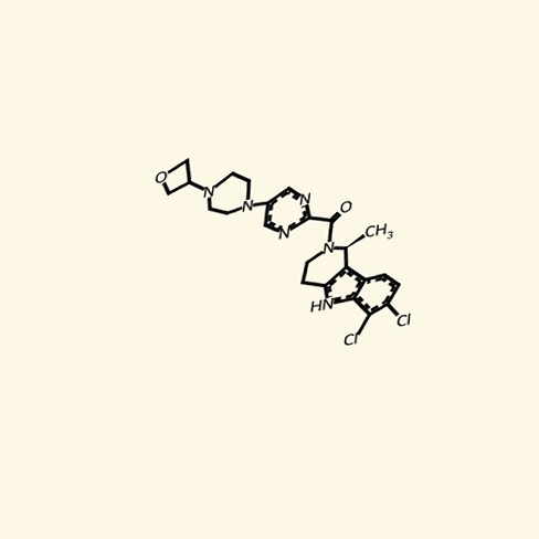 C[C@H]1c2c([nH]c3c(Cl)c(Cl)ccc23)CCN1C(=O)c1ncc(N2CCN(C3COC3)CC2)cn1